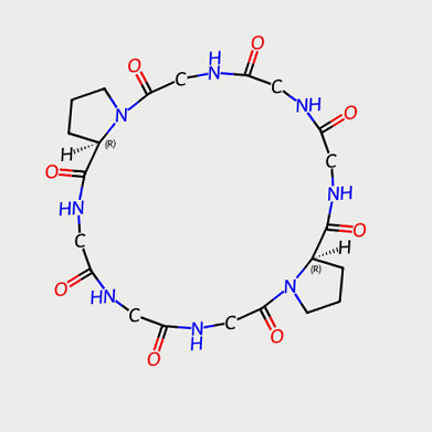 O=C1CNC(=O)CNC(=O)[C@H]2CCCN2C(=O)CNC(=O)CNC(=O)CNC(=O)[C@H]2CCCN2C(=O)CN1